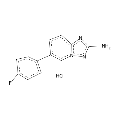 Cl.Nc1nc2ccc(-c3ccc(F)cc3)cn2n1